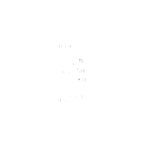 C=C(C)c1cccc(C(C)(C)NC(=O)Nc2cccc(C)c2)c1